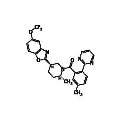 Cc1ccc(-c2ncccn2)c(C(=O)N2C[C@H](c3nc4cc(OC(F)(F)F)ccc4o3)CC[C@H]2C)c1